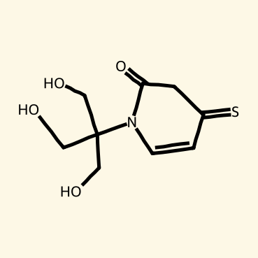 O=C1CC(=S)C=CN1C(CO)(CO)CO